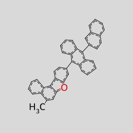 Cc1cc2oc3cc(-c4c5ccccc5c(-c5ccc6ccccc6c5)c5ccccc45)ccc3c2c2ccccc12